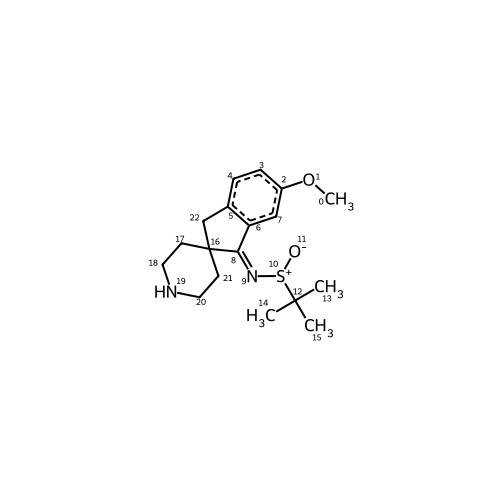 COc1ccc2c(c1)C(=N[S+]([O-])C(C)(C)C)C1(CCNCC1)C2